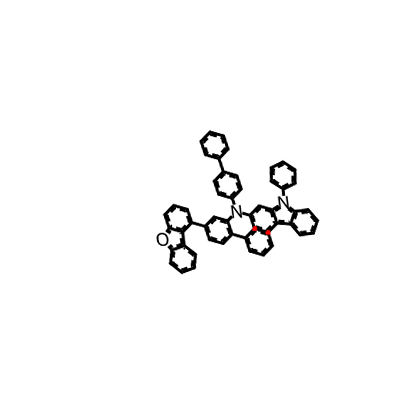 c1ccc(-c2ccc(N(c3ccc4c5ccccc5n(-c5ccccc5)c4c3)c3cc(-c4cccc5oc6ccccc6c45)ccc3-c3ccccc3)cc2)cc1